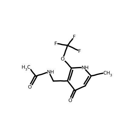 CC(=O)NCc1c(OC(F)(F)F)[nH]c(C)cc1=O